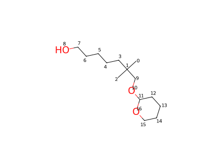 CC(C)(CCCCCO)COC1CCCCO1